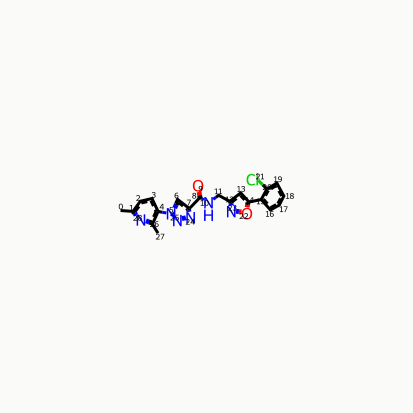 Cc1ccc(-n2cc(C(=O)NCc3cc(-c4ccccc4Cl)on3)nn2)c(C)n1